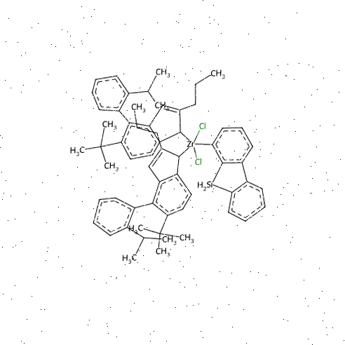 CCCC1=Cc2c(ccc(C(C)(C)C)c2-c2ccccc2C(C)C)[CH]1[Zr]([Cl])([Cl])([c]1cccc2c1[SiH2]c1ccccc1-2)[CH]1C(CCC)=Cc2c1ccc(C(C)(C)C)c2-c1ccccc1C(C)C